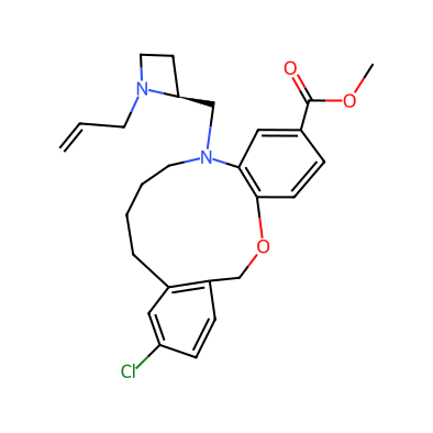 C=CCN1CC[C@H]1CN1CCCCc2cc(Cl)ccc2COc2ccc(C(=O)OC)cc21